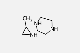 C1CNCCN1.CC1CN1